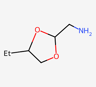 CCC1COC(CN)O1